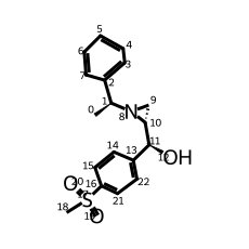 C[C@@H](c1ccccc1)N1C[C@@H]1[C@@H](O)c1ccc(S(C)(=O)=O)cc1